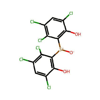 [O-][S+](c1c(O)c(Cl)cc(Cl)c1Cl)c1c(O)c(Cl)cc(Cl)c1Cl